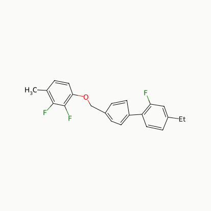 CCc1ccc(-c2ccc(COc3ccc(C)c(F)c3F)cc2)c(F)c1